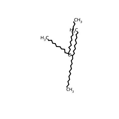 CCCCCCCCCCCCCC(CCCCCCCCCC)OC(CCCCCCCCCC)CCCCCCCCCCCCC